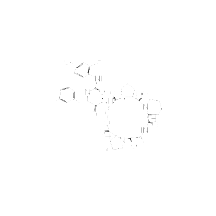 Cc1cccc(C[C@H](NC(=O)Nc2ccc(Cl)cc2F)C(=O)N[C@H]2COC(=O)[C@@H]3C[C@@H](C)CN3C(=O)[C@H](C)NC(=O)[C@@H]3CCCCN3C(=O)[C@@H]3CCCN3C2=O)c1